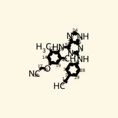 C#Cc1ccc(Nc2nc(Nc3c(C)cc(OCC#N)cc3C)c3nc[nH]c3n2)cc1